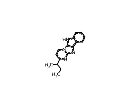 CCC(C)c1ccn2c(n1)nc1c3ccccc3[nH]c12